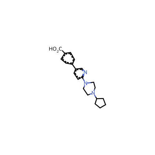 O=C(O)c1ccc(-c2ccc(N3CCN(C4CCCC4)CC3)nc2)cc1